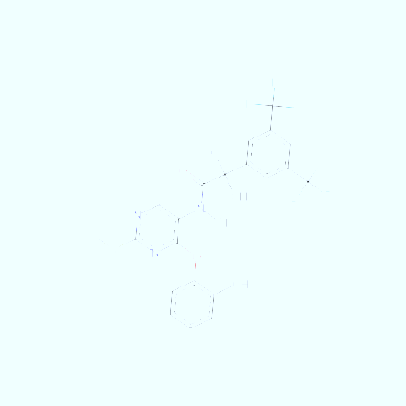 CSc1ncc(N(C)C(=O)C(C)(C)c2cc(C(F)(F)F)cc(C(F)(F)F)c2)c(Oc2ccccc2C)n1